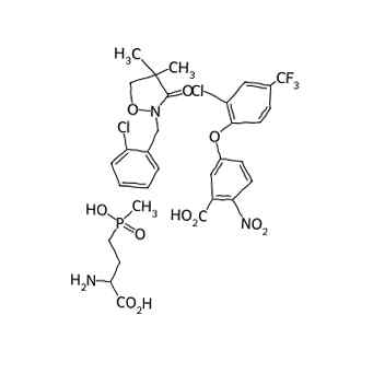 CC1(C)CON(Cc2ccccc2Cl)C1=O.CP(=O)(O)CCC(N)C(=O)O.O=C(O)c1cc(Oc2ccc(C(F)(F)F)cc2Cl)ccc1[N+](=O)[O-]